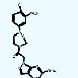 COc1cc(N2CCN(C(=O)Cn3ncc4ccc(NC(C)=O)nc43)CC2)ccc1Cl